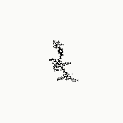 CC(C)(C)OC(=O)/N=C(/NCCCCCCCN(C(=O)OC(C)(C)C)/C(=N\C(=O)OC(C)(C)C)N(CCCCOc1ccc(C(=N)NC(=O)OC(C)(C)C)cc1)C(=O)OC(C)(C)C)NC(=O)OC(C)(C)C